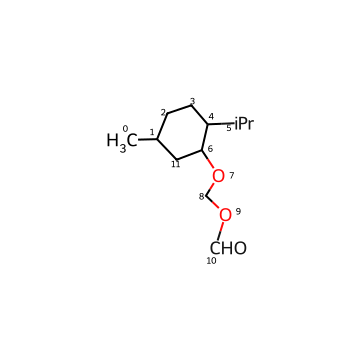 CC1CCC(C(C)C)C(OCOC=O)C1